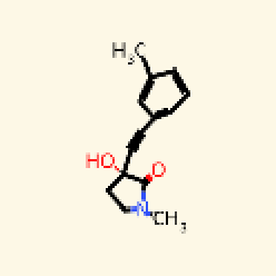 Cc1cccc(C#C[C@]2(O)CCN(C)C2=O)c1